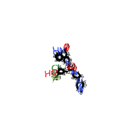 CN1CCN(C2CCN(C(=O)[C@@H](Cc3cc(Cl)c(O)c(C(F)(F)F)c3)OC(=O)N3CCC4(CC3)CC(=O)Nc3ccccc34)CC2)CC1